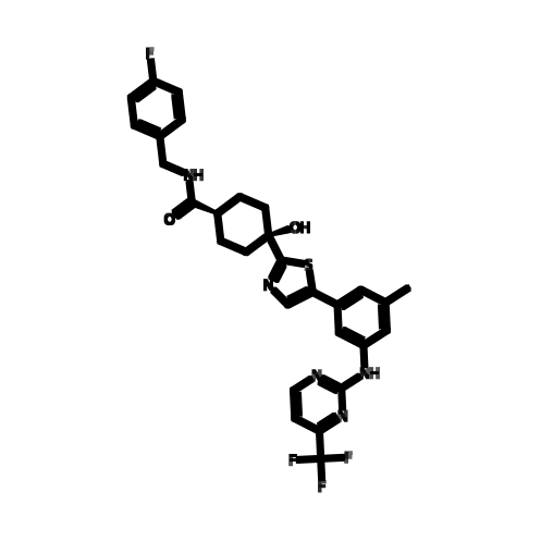 Cc1cc(Nc2nccc(C(F)(F)F)n2)cc(-c2cnc([C@]3(O)CC[C@@H](C(=O)NCc4ccc(F)cc4)CC3)s2)c1